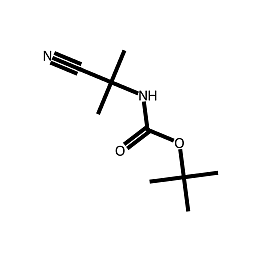 CC(C)(C#N)NC(=O)OC(C)(C)C